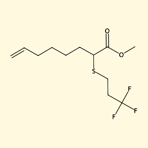 C=CCCCCC(SCCC(F)(F)F)C(=O)OC